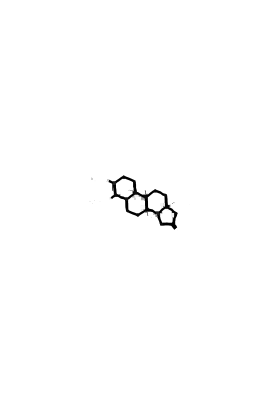 COC1C(OC(C)=O)CC[C@@]2(C)C1CC[C@@H]1[C@H]2CC[C@]2(C)CC(=O)C[C@@H]12